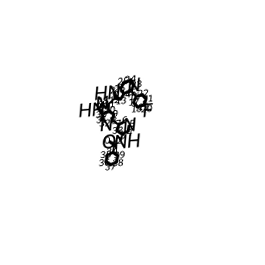 O=C(Nc1cncc(-c2cc3c(-c4cc5c(-c6ccc(F)cc6)nccc5[nH]4)n[nH]c3cn2)c1)c1ccccc1